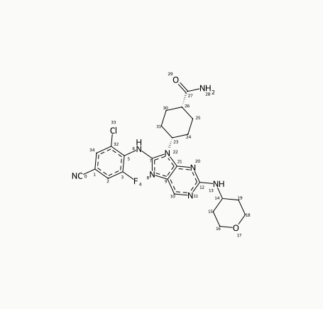 N#Cc1cc(F)c(Nc2nc3cnc(NC4CCOCC4)nc3n2[C@H]2CC[C@@H](C(N)=O)CC2)c(Cl)c1